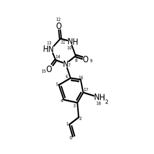 C=CCc1ccc(-n2c(=O)[nH]c(=O)[nH]c2=O)cc1N